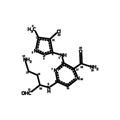 Cc1nsc(Nc2nc(NC(C=O)CCN)cnc2C(N)=O)c1Cl